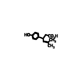 CC(C)=CC(CC(=O)O)c1ccc(O)cc1